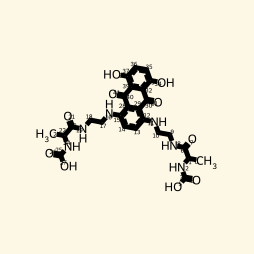 CC(NC(=O)O)C(=O)NCCNc1ccc(NCCNC(=O)C(C)NC(=O)O)c2c1C(=O)c1c(O)ccc(O)c1C2=O